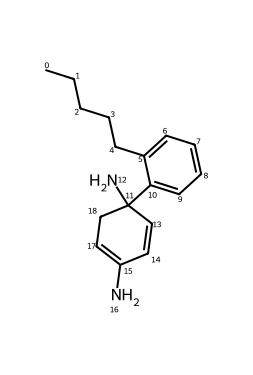 CCCCCc1ccccc1C1(N)C=CC(N)=CC1